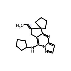 C/C=C1\Cc2c(nc3ccnn3c2NC2CCCC2)C12CCCC2